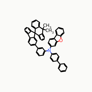 CC1(C)c2ccccc2C2(c3ccccc3-c3ccc(-c4cccc(N(c5ccc(-c6ccccc6)cc5)c5ccc6c(c5)oc5ccccc56)c4)cc32)c2ccccc21